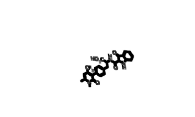 Cc1cc(C(F)(F)F)c(-c2ccc(CC(NC(=O)C3Nc4ccccc4C3=O)C(=O)O)cc2)c(=O)n1C